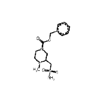 CN1CCN(C(=O)OCc2ccccc2)CC1CS(N)(=O)=O